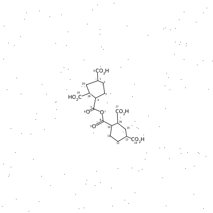 O=C(O)C1CCC(C(=O)OC(=O)C2CCC(C(=O)O)CC2C(=O)O)C(C(=O)O)C1